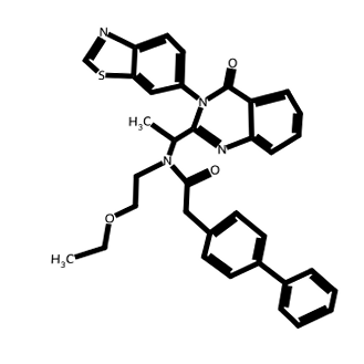 CCOCCN(C(=O)Cc1ccc(-c2ccccc2)cc1)C(C)c1nc2ccccc2c(=O)n1-c1ccc2ncsc2c1